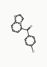 O=C(c1ccc(Cl)cc1)c1cccc2nccn12